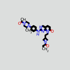 C=CC(=O)N1CC(CCn2c(=O)ccc3cnc(Nc4ccc(N5CCN(C(C)=O)C[C@H]5C)cc4)nc32)C1